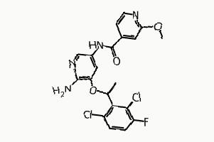 COc1cc(C(=O)Nc2cnc(N)c(OC(C)c3c(Cl)ccc(F)c3Cl)c2)ccn1